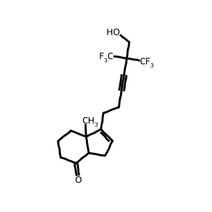 CC12CCCC(=O)C1CC=C2CCC#CC(CO)(C(F)(F)F)C(F)(F)F